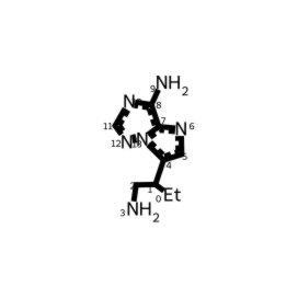 CCC(CN)c1cnc2c(N)ncnn12